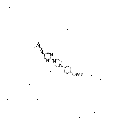 COc1ccc(N2CCN(c3ncc(N=CN(C)C)cn3)CC2)cc1